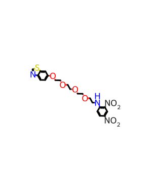 O=[N+]([O-])c1ccc(NCCOCCOCCOCCOc2ccc3ncsc3c2)c([N+](=O)[O-])c1